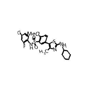 COc1ccc(-c2sc(NC3CCCCC3)nc2C)cc1S(=O)(=O)Nc1ccc(Cl)cc1F